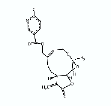 C=C1C(=O)O[C@H]2[C@H]1CC/C(COC(=O)c1ccc(Cl)nc1)=C\CC[C@@]1(C)O[C@@H]21